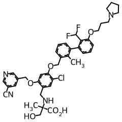 Cc1c(COc2cc(OCc3cncc(C#N)c3)c(CN[C@@](C)(CO)C(=O)O)cc2Cl)cccc1-c1cccc(OCCCN2CCCC2)c1C(F)F